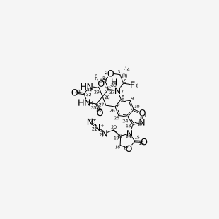 C[C@@H]1O[C@H](C)C(F)N2c3cc4onc(N5C(=O)OC[C@H]5CN=[N+]=[N-])c4cc3CC3(C(=O)NC(=O)NC3=O)[C@@H]12